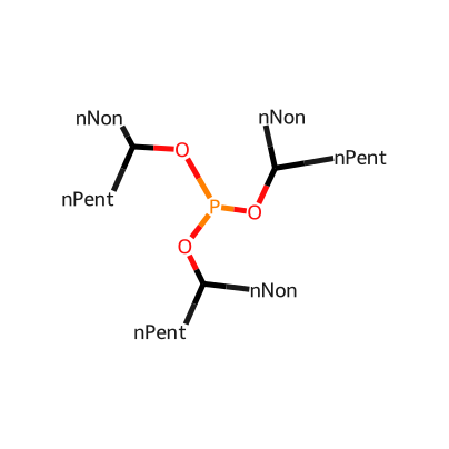 CCCCCCCCCC(CCCCC)OP(OC(CCCCC)CCCCCCCCC)OC(CCCCC)CCCCCCCCC